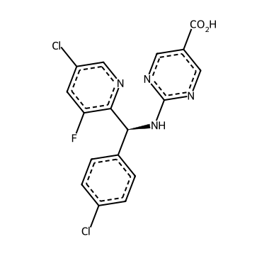 O=C(O)c1cnc(N[C@@H](c2ccc(Cl)cc2)c2ncc(Cl)cc2F)nc1